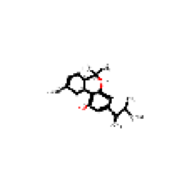 CCCCCC(C)C(C)c1cc(O)c2c(c1)OC(C)(C)C1CC=C(NC(C)=O)CC21